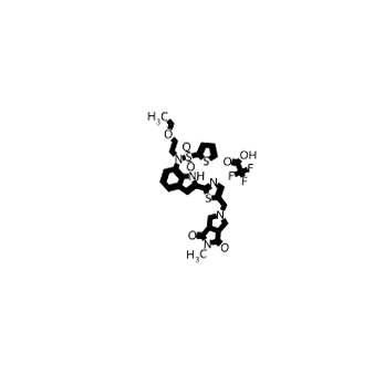 CCOCCN(c1cccc2cc(-c3ncc(CN4CC5C(=O)N(C)C(=O)C5C4)s3)[nH]c12)S(=O)(=O)c1cccs1.O=C(O)C(F)(F)F